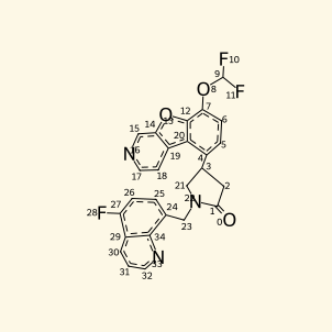 O=C1CC(c2ccc(OC(F)F)c3oc4cnccc4c23)CN1Cc1ccc(F)c2cccnc12